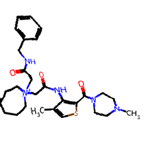 Cc1csc(C(=O)N2CCN(C)CC2)c1NC(=O)C[N+]1(CC(=O)NCc2ccccc2)CCCCCC1